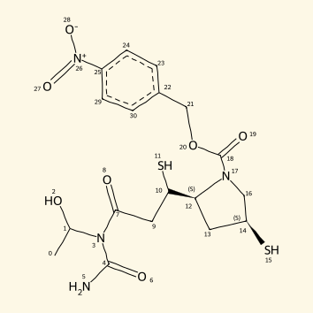 CC(O)N(C(N)=O)C(=O)CC(S)[C@@H]1C[C@H](S)CN1C(=O)OCc1ccc([N+](=O)[O-])cc1